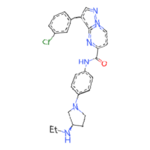 CCN[C@@H]1CCN(c2ccc(NC(=O)c3ccn4ncc(-c5cccc(Cl)c5)c4n3)cc2)C1